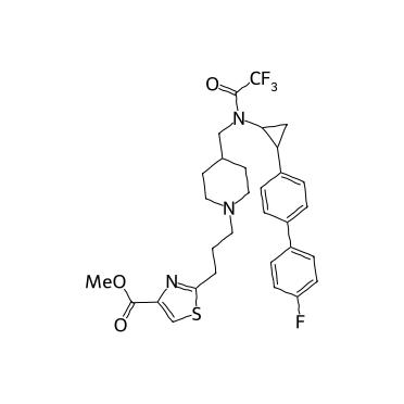 COC(=O)c1csc(CCCN2CCC(CN(C(=O)C(F)(F)F)C3CC3c3ccc(-c4ccc(F)cc4)cc3)CC2)n1